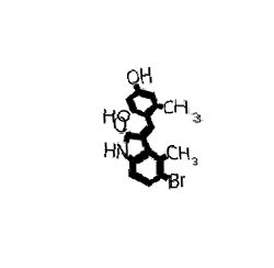 Cc1cc(O)cc(O)c1C=C1C(=O)Nc2ccc(Br)c(C)c21